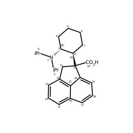 CC(C)N(C(C)C)[C@@H]1CCCC[C@H]1C1(C(=O)O)Cc2cccc3cccc1c23